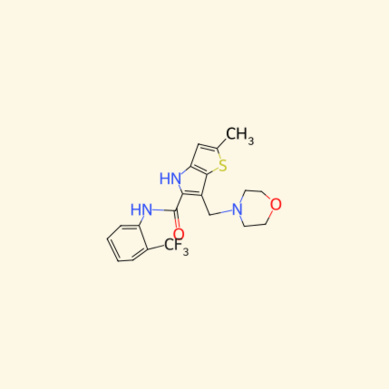 Cc1cc2[nH]c(C(=O)Nc3ccccc3C(F)(F)F)c(CN3CCOCC3)c2s1